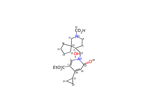 CCOC(=O)c1cn(C[C@]2(O)CCN(C(=O)O)CC23CCCC3)c(=O)cc1C1CC1